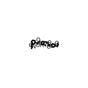 Cc1nc2c(C(O)C(=O)N3CC4=C(C3)CN(S(=O)(=O)c3ccc5ccoc5c3)C4)cccc2o1